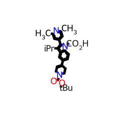 Cc1cc(-c2c(C(C)C)c3cc(C4=CCN(C(=O)OC(C)(C)C)CC4)ccc3n2C(=O)O)cc(C)n1